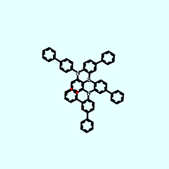 Cc1cc2c3c(c1)N(c1ccc(-c4ccccc4)cc1-c1ccccc1)c1cc(-c4ccccc4)ccc1B3c1cc(-c3ccccc3)ccc1N2c1ccc(-c2ccccc2)cc1